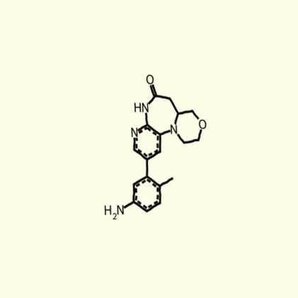 Cc1ccc(N)cc1-c1cnc2c(c1)N1CCOCC1CC(=O)N2